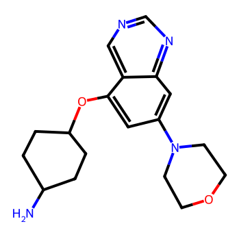 NC1CCC(Oc2cc(N3CCOCC3)cc3ncncc23)CC1